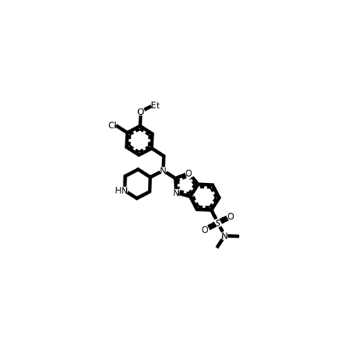 CCOc1cc(CN(c2nc3cc(S(=O)(=O)N(C)C)ccc3o2)C2CCNCC2)ccc1Cl